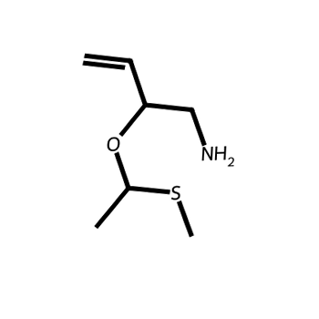 C=CC(CN)OC(C)SC